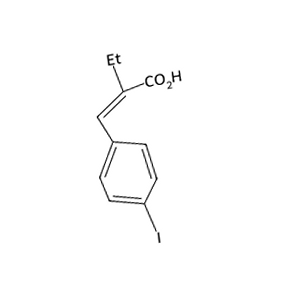 CCC(=Cc1ccc(I)cc1)C(=O)O